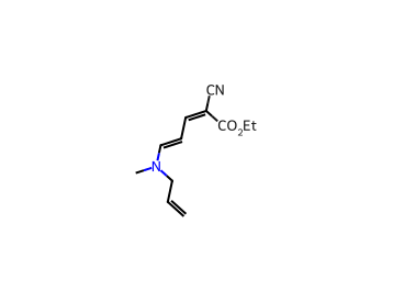 C=CCN(C)/C=C/C=C(/C#N)C(=O)OCC